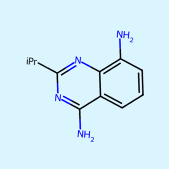 CC(C)c1nc(N)c2cccc(N)c2n1